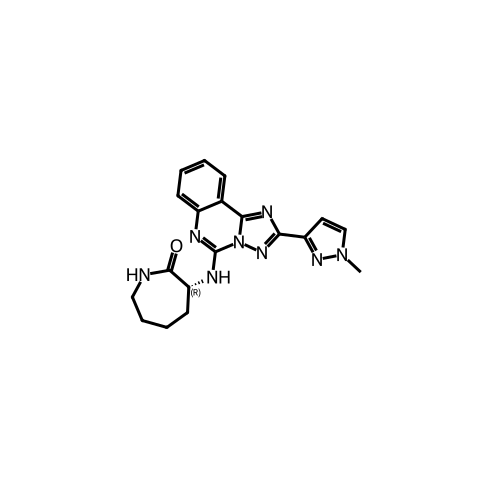 Cn1ccc(-c2nc3c4ccccc4nc(N[C@@H]4CCCCNC4=O)n3n2)n1